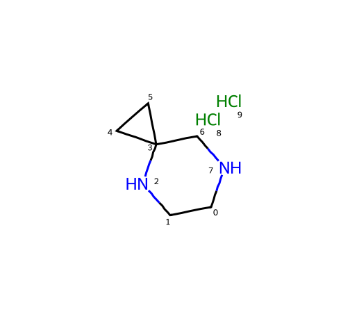 C1CNC2(CC2)CN1.Cl.Cl